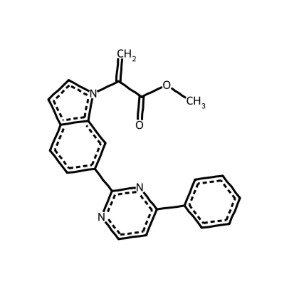 C=C(C(=O)OC)n1ccc2ccc(-c3nccc(-c4ccccc4)n3)cc21